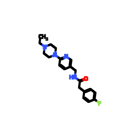 CCN1CCN(c2ccc(CNC(=O)Cc3ccc(F)cc3)cn2)CC1